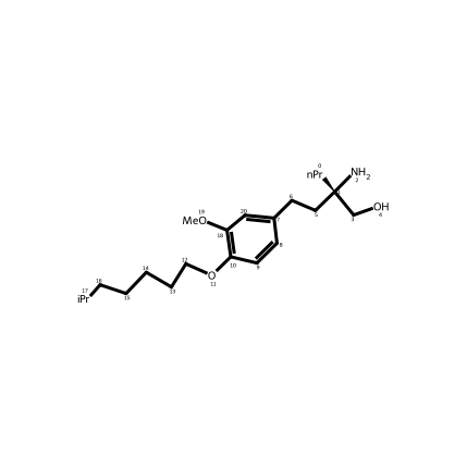 CCC[C@@](N)(CO)CCc1ccc(OCCCCCC(C)C)c(OC)c1